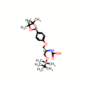 CC1(C)OB(c2ccc(OC[C@H](CO[Si](C)(C)C(C)(C)C)NC(=O)O)cc2)OC1(C)C